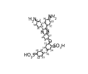 Nc1ccc(-c2nc3ccc(Oc4ccc(Cc5ccc(S(=O)(=O)O)cc5)cc4S(=O)(=O)O)cc3nc2-c2ccc(N)cc2)cc1